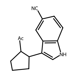 CC(=O)C1CCCC1c1c[nH]c2ccc(C#N)cc12